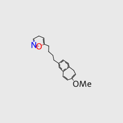 COC1=CCc2ccc(CCCCC3=CCC=NO3)cc2C=C1